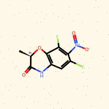 C[C@H]1Oc2c(cc(F)c([N+](=O)[O-])c2F)NC1=O